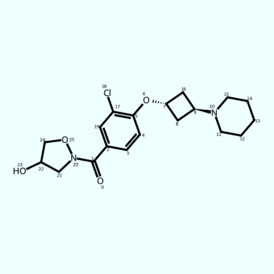 O=C(c1ccc(O[C@H]2C[C@H](N3CCCCC3)C2)c(Cl)c1)N1CC(O)CO1